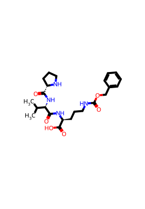 CC(C)[C@H](NC(=O)[C@@H]1CCCN1)C(=O)N[C@@H](CCCNC(=O)OCc1ccccc1)C(=O)O